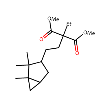 CCC(CCC1CC2CC2(C)C1(C)C)(C(=O)OC)C(=O)OC